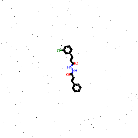 O=C(C=Cc1ccccc1)NNC(=O)/C=C/c1cccc(Cl)c1